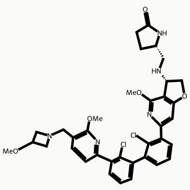 COc1nc(-c2cccc(-c3cccc(-c4cc5c(c(OC)n4)[C@H](NC[C@@H]4CCC(=O)N4)CO5)c3Cl)c2Cl)ccc1CN1CC(OC)C1